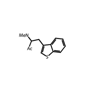 CNC(Cc1csc2ccccc12)C(C)=O